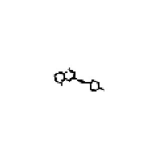 Cc1ccc(C#Cc2cnc3cccnc3c2)cc1